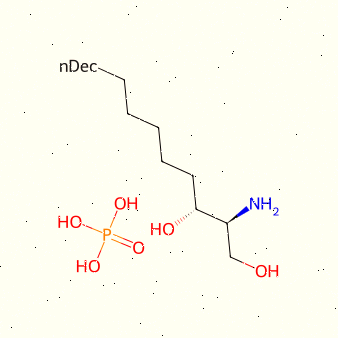 CCCCCCCCCCCCCCC[C@@H](O)[C@@H](N)CO.O=P(O)(O)O